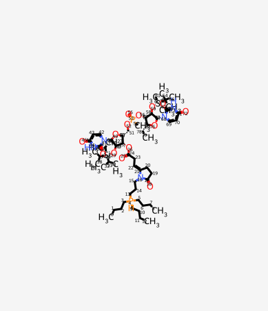 CCCC[PH](CCCC)(CCCC)CCCN1C(=O)CCC1=CCC(=O)O[C@@H]1C(O[Si](C(C)C)(C(C)C)C(C)C)[C@H](n2ccc(=O)[nH]c2=O)O[C@@H]1COP(C)(=O)O[C@@H]1C(O[Si](C)(C)C(C)(C)C)[C@H](n2ccc(=O)[nH]c2=O)O[C@@H]1CC